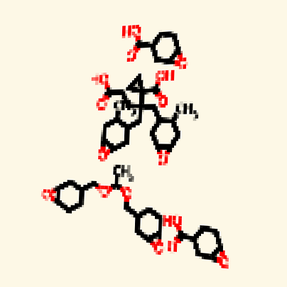 CC(OCC1CCC2OC2C1)OCC1CCC2OC2C1.CC1CC2OC2CC1CC(CCC(=O)O)(CC1CC2OC2CC1C)C1(C(=O)O)CC1.O=C(O)C1CCC2OC2C1.O=C(O)C1CCC2OC2C1